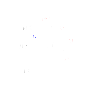 CC(C(=O)O)N(C)C.CCCCC(=O)O